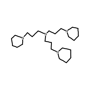 C1CCN(CCCN(CCCN2CCCCC2)CCCN2CCCCC2)CC1